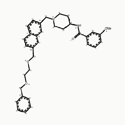 COc1cccc(C(=O)NC2CCN(Cc3ccc4ccc(COCCOCc5ccccc5)cc4c3)CC2)c1